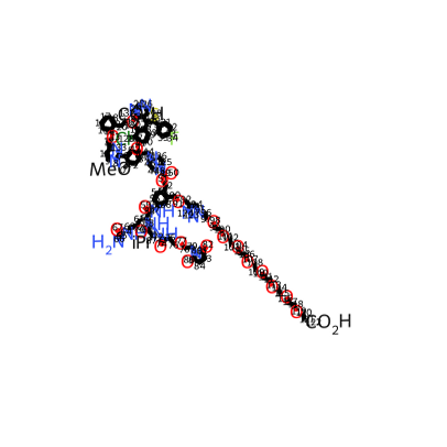 COc1ccccc1-c1nccc(COc2ccccc2C[C@@H](Oc2ncnc3sc(-c4ccc(F)cc4)c(-c4ccc(OCCN5CCN(C(=O)OCc6ccc(NC(=O)[C@H](CCCNC(N)=O)NC(=O)[C@@H](NC(=O)CCOCCN7C(=O)C=CC7=O)C(C)C)cc6COCc6cn(CCOCCOCCOCCOCCOCCOCCOCCOCCC(=O)O)nn6)CC5)c(Cl)c4C)c23)C(=O)O)n1